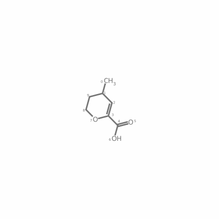 CC1C=C(C(=O)O)OCC1